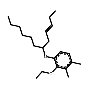 CCC=CCC(CCCCCC)Oc1ccc(C)c(C)c1OCC